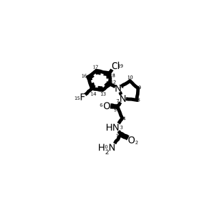 NC(=O)NCC(=O)N1CCCN1c1cc(F)ccc1Cl